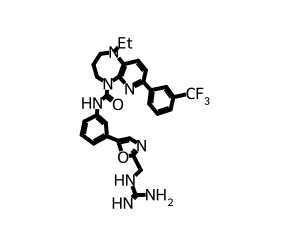 CCN1CCCN(C(=O)Nc2cccc(-c3cnc(CNC(=N)N)o3)c2)c2nc(-c3cccc(C(F)(F)F)c3)ccc21